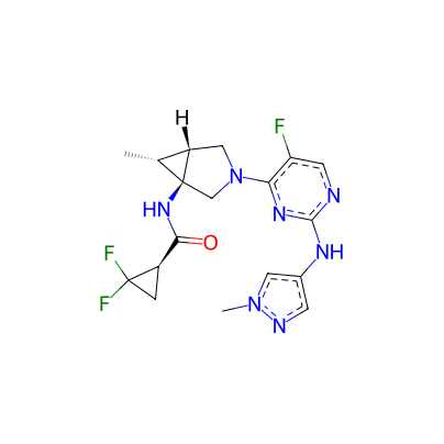 C[C@@H]1[C@@H]2CN(c3nc(Nc4cnn(C)c4)ncc3F)C[C@]12NC(=O)[C@H]1CC1(F)F